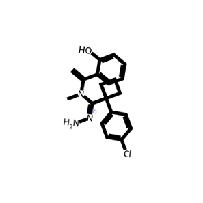 C=C(c1ccccc1O)N(C)/C(=N\N)C1(c2ccc(Cl)cc2)CCC1